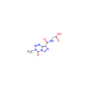 Cn1nnc2c(C(=O)NCC(=O)O)ncn2c1=O